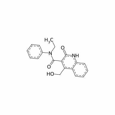 CCN(C(=O)c1c(CO)c2ccccc2[nH]c1=O)c1ccccc1